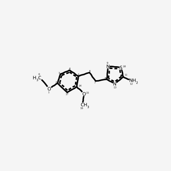 COc1ccc(CCc2nsc(N)n2)c(OC)c1